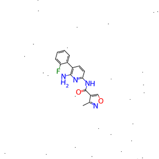 Cc1nocc1C(=O)Nc1ccc(-c2ccccc2F)c(N)n1